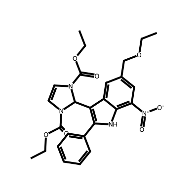 CCOCc1cc([N+](=O)[O-])c2[nH]c(-c3ccccc3)c(C3N(C(=O)OCC)C=CN3C(=O)OCC)c2c1